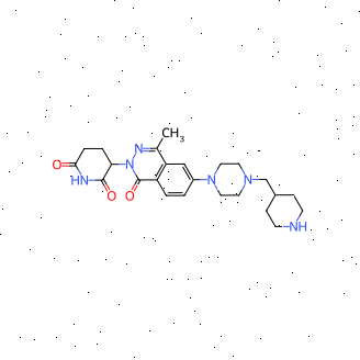 Cc1nn(C2CCC(=O)NC2=O)c(=O)c2ccc(N3CCN(CC4CCNCC4)CC3)cc12